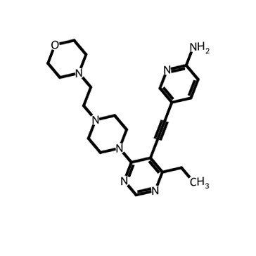 CCc1ncnc(N2CCN(CCN3CCOCC3)CC2)c1C#Cc1ccc(N)nc1